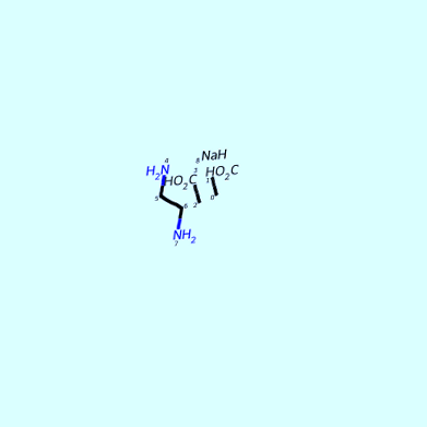 CC(=O)O.CC(=O)O.NCCN.[NaH]